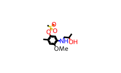 COc1cc(C)c(OS(C)(=O)=O)cc1NCC(C)O